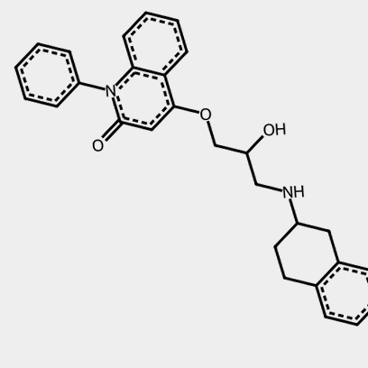 O=c1cc(OCC(O)CNC2CCc3ccccc3C2)c2ccccc2n1-c1ccccc1